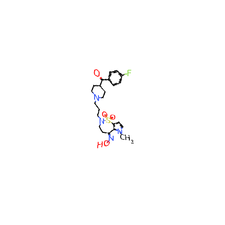 Cn1ccc2c1C(=NO)CCN(CCCN1CCC(C(=O)c3ccc(F)cc3)CC1)S2(=O)=O